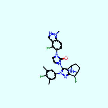 Cc1cc(-n2nc3c(c2-n2ccn(-c4ccc5c(cnn5C)c4F)c2=O)C2CCC(N2)C3F)cc(C)c1F